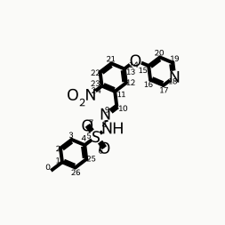 Cc1ccc(S(=O)(=O)NN=Cc2cc(Oc3ccncc3)ccc2[N+](=O)[O-])cc1